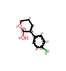 O[C@H]1OCCCC1c1ccc(Br)cc1